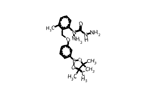 Cc1cccc(N(N)C(=O)NN)c1COc1cccc(B2OC(C)(C)C(C)(C)O2)c1